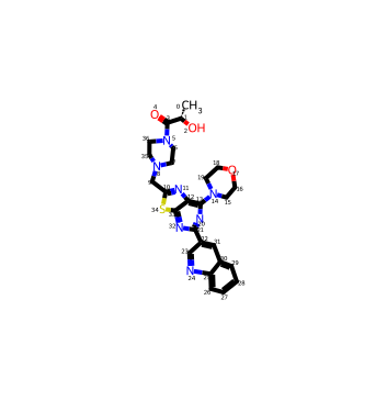 C[C@H](O)C(=O)N1CCN(Cc2nc3c(N4CCOCC4)nc(-c4cnc5ccccc5c4)nc3s2)CC1